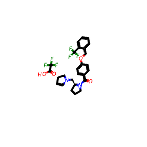 O=C(O)C(F)(F)F.O=C(c1ccc(OCc2ccccc2C(F)(F)F)cc1)N1CCC[C@H]1CN1CCCC1